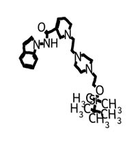 CC(C)(C)[Si](C)(C)OCCN1CCN(CCN2CCC=C(C(=O)Nn3ccc4ccccc43)C2)CC1